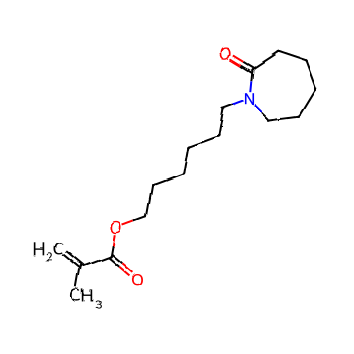 C=C(C)C(=O)OCCCCCCN1CCCCCC1=O